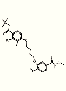 CONC(=O)c1ccc(OC)c(OCCCCOc2ccc(C(=O)CC(C)(C)C)c(O)c2C)c1